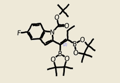 CC/C(B1OC(C)(C)C(C)(C)O1)=C(/B1OC(C)(C)C(C)(C)O1)c1cc2cc(F)ccc2n1C(=O)OC(C)(C)C